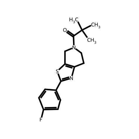 CC(C)(C)C(=O)N1CCc2nc(-c3ccc(F)cc3)sc2C1